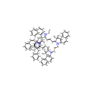 CC[N+]1=C(/C=C/C=C2/N(CSCN3/C(=C/C=C/C4=[N+](CC)c5ccc6ccccc6c5C4(CC)Cc4ccccc4)C(C)(C)c4c3ccc3ccccc43)c3ccc4ccccc4c3C2(C)C)C(CC)(Cc2ccccc2)c2c1ccc1ccccc21